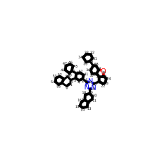 C1=CC(c2cc(-c3nc(-c4ccc5ccccc5c4)nc(-c4cccc5oc6cc(-c7ccccc7)ccc6c45)n3)ccc2-c2ccccc2)Cc2ccccc21